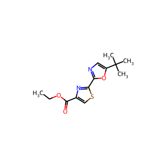 CCOC(=O)c1csc(-c2ncc(C(C)(C)C)o2)n1